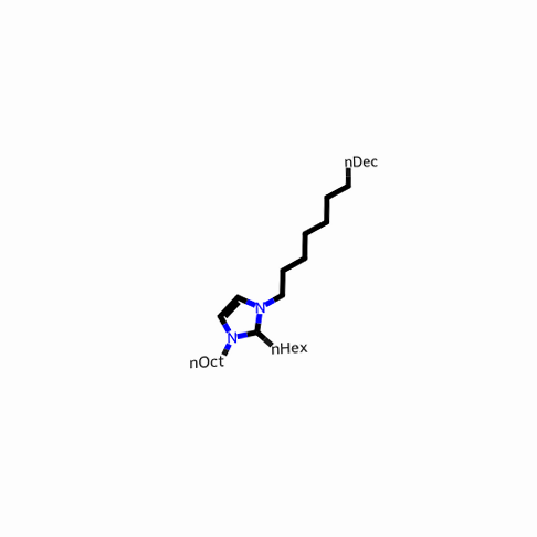 CCCCCCCCCCCCCCCCCN1C=CN(CCCCCCCC)C1CCCCCC